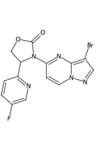 O=C1OCC(c2ccc(F)cn2)N1c1ccn2ncc(Br)c2n1